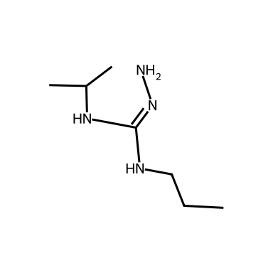 CCCNC(=NN)NC(C)C